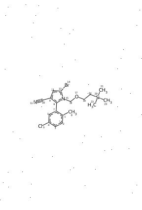 Cc1ccc(Cl)cc1-c1c(C#N)cc(Br)n1COCC[Si](C)(C)C